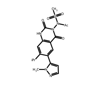 CC(=O)N(n1c(=O)[nH]c2cc(C(C)C)c(-c3ccnn3C)cc2c1=O)S(C)(=O)=O